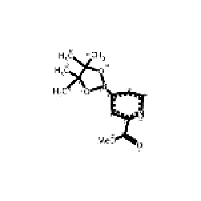 COC(=O)c1cc(B2OC(C)(C)C(C)(C)O2)ccn1